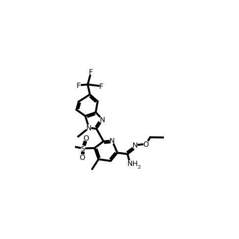 CCON=C(N)c1cc(C)c(S(C)(=O)=O)c(-c2nc3cc(C(F)(F)F)ccc3n2C)n1